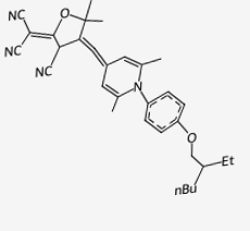 CCCCC(CC)COc1ccc(N2C(C)=CC(=C=C3C(C#N)C(=C(C#N)C#N)OC3(C)C)C=C2C)cc1